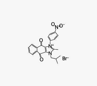 Cc1n(CC(C)C)c2c([n+]1-c1ccc([N+](=O)[O-])cc1)C(=O)c1ccccc1C2=O.[Br-]